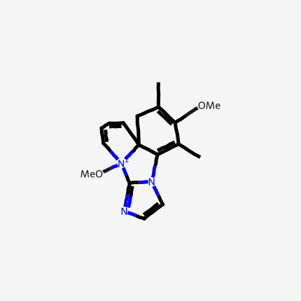 COC1=C(C)CC23C=CC=C[N+]2(OC)c2nccn2C3=C1C